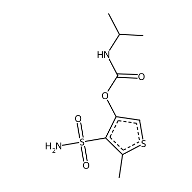 Cc1scc(OC(=O)NC(C)C)c1S(N)(=O)=O